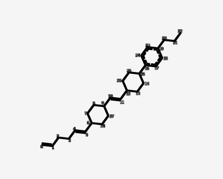 C=CCC/C=C/C1CCC(/C=C/C2CCC(c3ccc(CCC)cc3)CC2)CC1